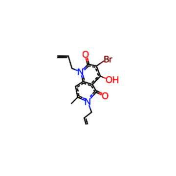 C=CCn1c(C)cc2c(c(O)c(Br)c(=O)n2CC=C)c1=O